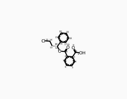 O=C(O)c1ccccc1C(=O)O[C@H](CCCl)c1ccccc1